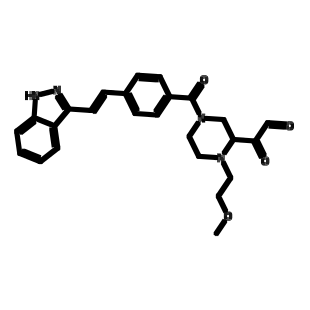 COCCN1CCN(C(=O)c2ccc(C=Cc3n[nH]c4ccccc34)cc2)CC1C(=O)C=O